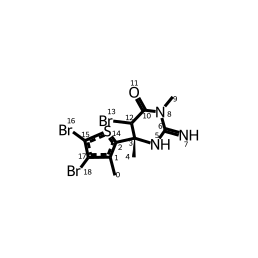 Cc1c([C@@]2(C)NC(=N)N(C)C(=O)C2Br)sc(Br)c1Br